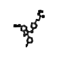 COc1ccc2c(Oc3ccc(C=CC(=O)OC(C)(C)C)cc3)c(-c3cccc(F)c3)sc2c1